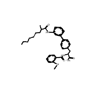 CCCCCCCC(C)C(=O)Nc1cccc(-c2ccc(CC(NC(=O)c3ccccc3OC)C(=O)O)cc2)c1